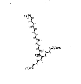 CCCCCCCCCCCCCCC(CCCCCCCCCCCCCC)C(=O)NCCCNCCCCNCCCN